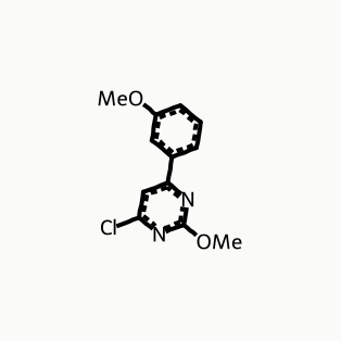 COc1cccc(-c2cc(Cl)nc(OC)n2)c1